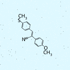 COc1ccc(C(C#N)=Cc2ccc(SC)cc2)cc1